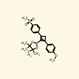 COc1ccc(C23CC(c4ccc(S(C)(=O)=O)cc4)(C2)C3B2OC(C)(C)C(C)(C)O2)cc1